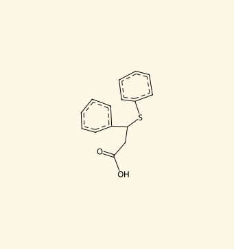 O=C(O)CC(Sc1ccccc1)c1ccccc1